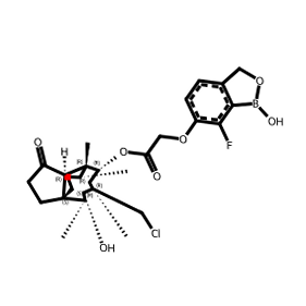 C[C@@H]1CC[C@@]23CCC(=O)[C@H]2[C@]1(C)[C@H](OC(=O)COc1ccc2c(c1F)B(O)OC2)C[C@@](C)(CCl)[C@@H](O)[C@@H]3C